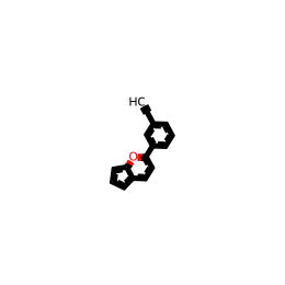 C#Cc1cccc(-c2ccc3cccc-3o2)c1